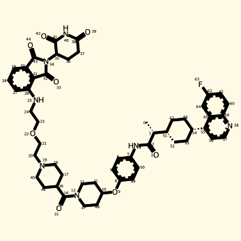 C[C@@H](C(=O)Nc1ccc(OC2CCN(C(=O)C3CCN(CCOCCNc4cccc5c4C(=O)N(C4CCC(=O)NC4=O)C5=O)CC3)CC2)cc1)[C@H]1CC[C@@H](c2ccnc3ccc(F)cc32)CC1